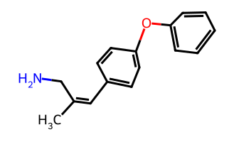 CC(=Cc1ccc(Oc2ccccc2)cc1)CN